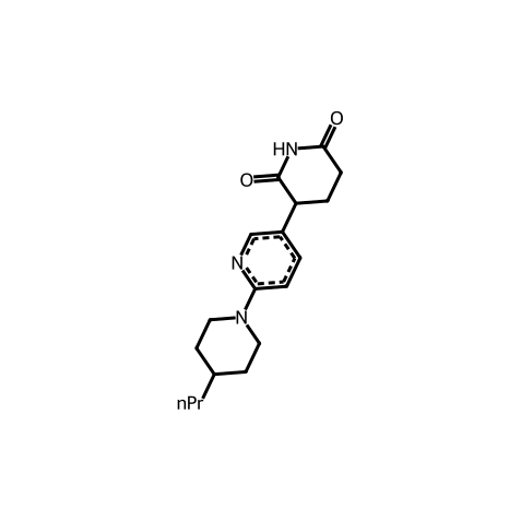 CCCC1CCN(c2ccc(C3CCC(=O)NC3=O)cn2)CC1